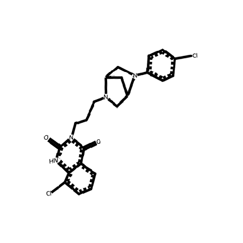 O=c1[nH]c2c(Cl)cccc2c(=O)n1CCCN1CC2CC1CN2c1ccc(Cl)cc1